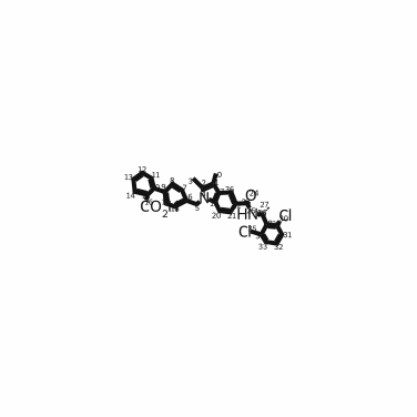 Cc1c(C)n(Cc2ccc(-c3ccccc3C(=O)O)cc2)c2ccc(C(=O)N[C@H](C)c3c(Cl)cccc3Cl)cc12